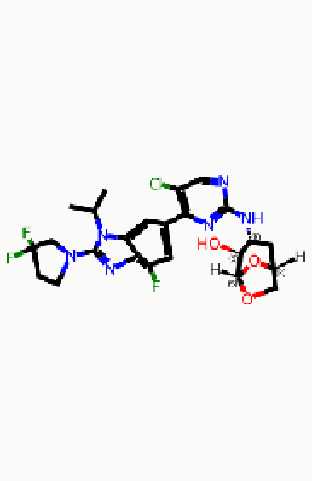 CC(C)n1c(N2CCC(F)(F)C2)nc2c(F)cc(-c3nc(N[C@@H]4C[C@@H]5CO[C@@H](O5)[C@H]4O)ncc3Cl)cc21